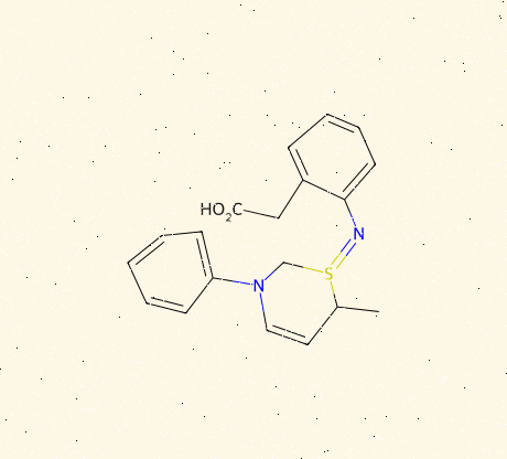 CC1C=CN(c2ccccc2)CS1=Nc1ccccc1CC(=O)O